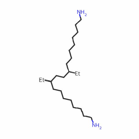 CCC(CCCCCCCCN)CCC(CC)CCCCCCCCN